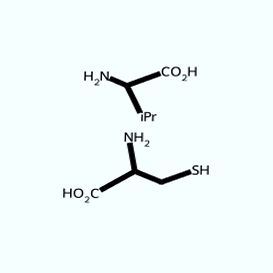 CC(C)C(N)C(=O)O.NC(CS)C(=O)O